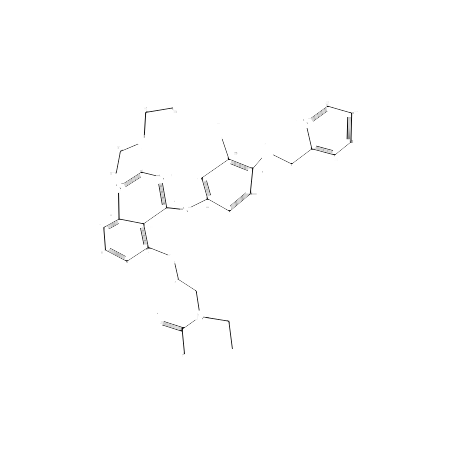 CCN(CCOc1cccc2ncnc(Nc3ccc(OCc4ccccn4)c(Cl)c3)c12)C(C)=O.CCOCC